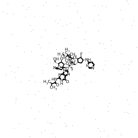 CC(C)C(=O)Nc1nc2c(ncn2[C@@H]2O[C@H](CO)[C@@H](O[Si](C)(C)C(C)(C)C)[C@@H]2OP(=S)(OCCC#N)OC[C@H]2C[C@@H](Nc3ccncn3)[C@H](F)[C@@H]2O[PH](=O)O)c(=O)[nH]1